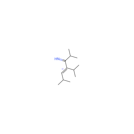 CC(C)/C=C(/C(=N)C(C)C)C(C)C